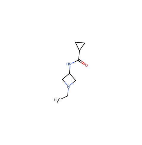 CCN1CC(NC(=O)C2CC2)C1